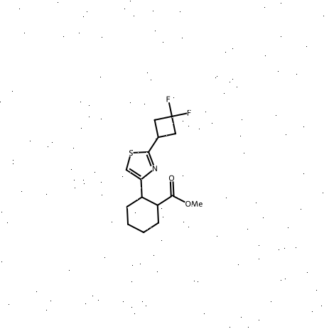 COC(=O)C1CCCCC1c1csc(C2CC(F)(F)C2)n1